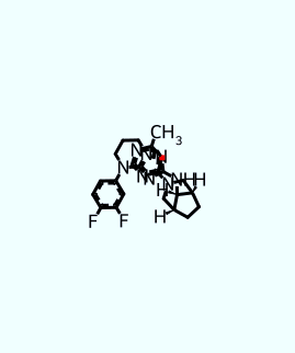 Cc1cc(N2C[C@H]3CC[C@@H](C2)[C@H]3Nc2nc3n(n2)CCCN3c2ccc(F)c(F)c2)ncn1